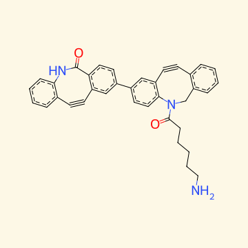 NCCCCCC(=O)N1Cc2ccccc2C#Cc2cc(-c3ccc4c(c3)C#Cc3ccccc3NC4=O)ccc21